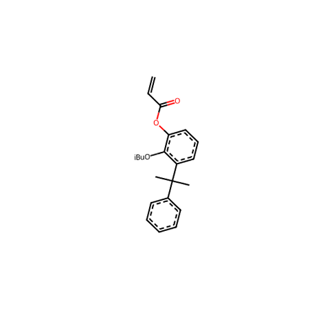 C=CC(=O)Oc1cccc(C(C)(C)c2ccccc2)c1OCC(C)C